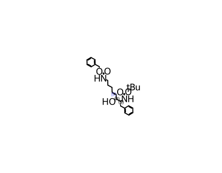 CC(C)(C)OC(=O)N[C@@H](Cc1ccccc1)[C@H](O)/C=C/CCCNC(=O)OCc1ccccc1